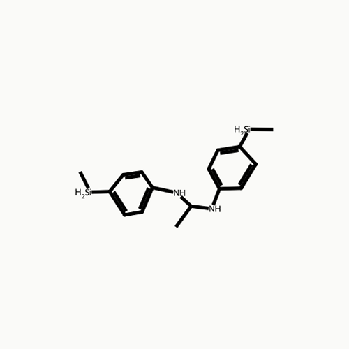 C[SiH2]c1ccc(NC(C)Nc2ccc([SiH2]C)cc2)cc1